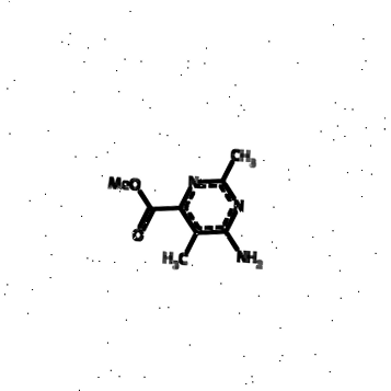 COC(=O)c1nc(C)nc(N)c1C